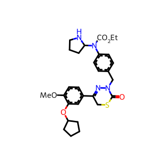 CCOC(=O)N(c1ccc(CN2N=C(c3ccc(OC)c(OC4CCCC4)c3)CSC2=O)cc1)C1CCCN1